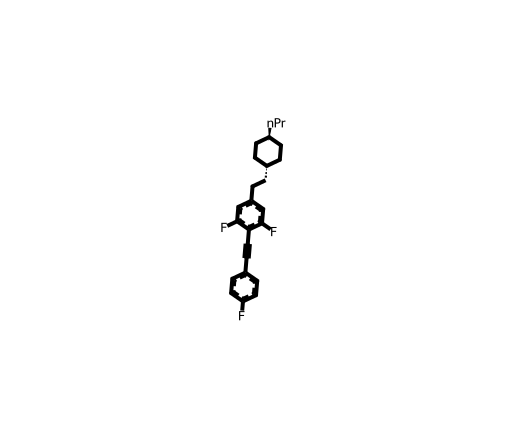 CCC[C@H]1CC[C@H](CCc2cc(F)c(C#Cc3ccc(F)cc3)c(F)c2)CC1